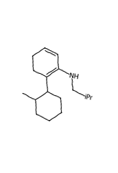 CC(C)CNC1=C(C2CCCCC2C)CCC=C1